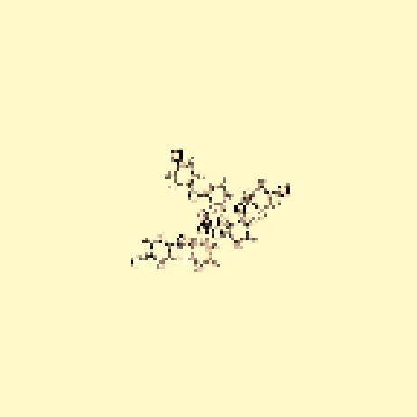 O=P(Oc1ccccc1Oc1ccc(Cl)cc1)(Oc1ccccc1Oc1ccc(Cl)cc1)Oc1ccccc1Oc1ccc(Cl)cc1